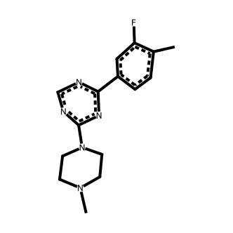 Cc1ccc(-c2ncnc(N3CCN(C)CC3)n2)cc1F